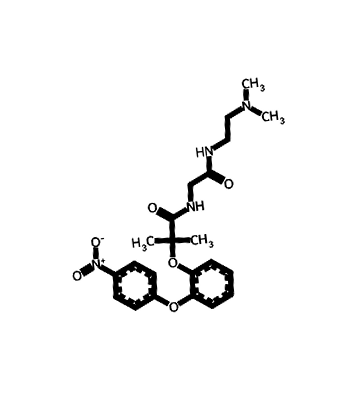 CN(C)CCNC(=O)CNC(=O)C(C)(C)Oc1ccccc1Oc1ccc([N+](=O)[O-])cc1